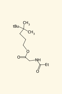 CCC(=O)NCC(=O)OCCCC(C)(C)C(C)(C)C